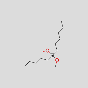 CCCCCC[Si](CCCCC)(OC)OC